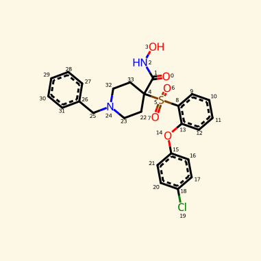 O=C(NO)C1(S(=O)(=O)c2ccccc2Oc2ccc(Cl)cc2)CCN(Cc2ccccc2)CC1